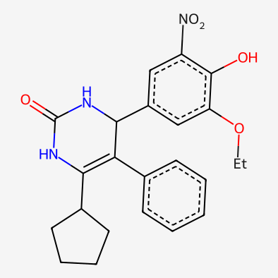 CCOc1cc(C2NC(=O)NC(C3CCCC3)=C2c2ccccc2)cc([N+](=O)[O-])c1O